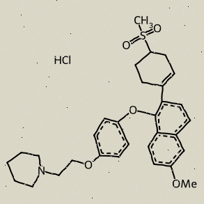 COc1ccc2c(Oc3ccc(OCCN4CCCCC4)cc3)c(C3=CCC(S(C)(=O)=O)CC3)ccc2c1.Cl